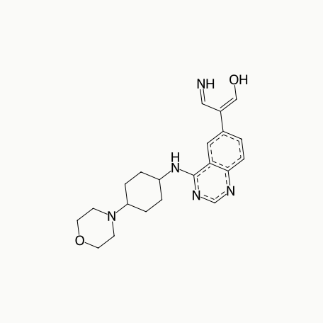 N=C/C(=C\O)c1ccc2ncnc(NC3CCC(N4CCOCC4)CC3)c2c1